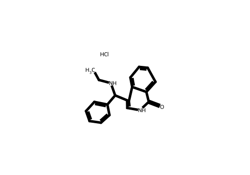 CCNC(c1ccccc1)c1c[nH]c(=O)c2ccccc12.Cl